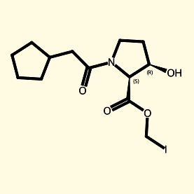 O=C(OCI)[C@@H]1[C@H](O)CCN1C(=O)CC1CCCC1